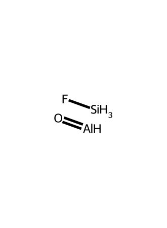 F[SiH3].[O]=[AlH]